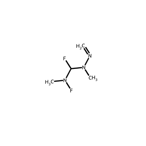 C=NN(C)C(F)N(C)F